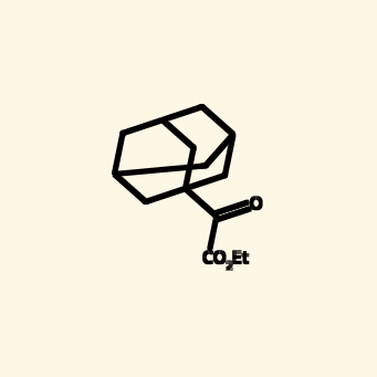 CCOC(=O)C(=O)C12CC3CC(CC(C3)C1)C2